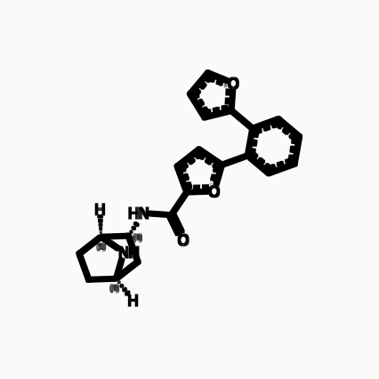 O=C(N[C@@H]1C[C@H]2CC[C@@H]1N2)c1ccc(-c2ccccc2-c2ccco2)o1